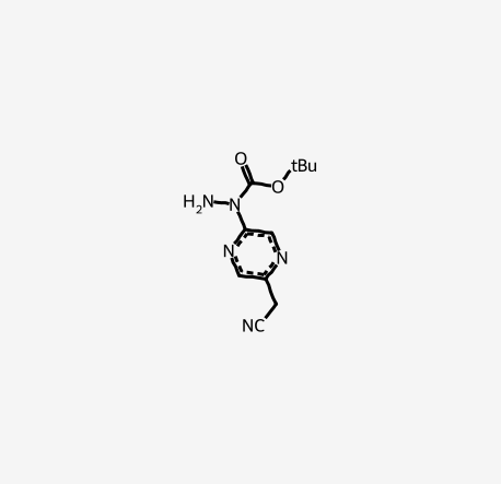 CC(C)(C)OC(=O)N(N)c1cnc(CC#N)cn1